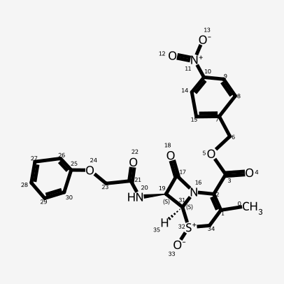 CC1=C(C(=O)OCc2ccc([N+](=O)[O-])cc2)N2C(=O)[C@H](NC(=O)COc3ccccc3)[C@@H]2[S+]([O-])C1